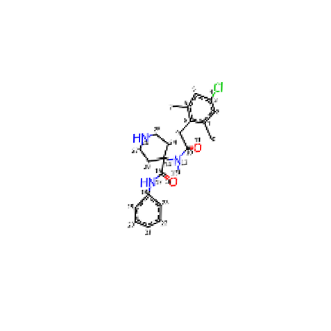 Cc1cc(Cl)cc(C)c1CC(=O)N(C)C1(C(=O)Nc2ccccc2)CCNCC1